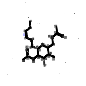 CC/C=C\SS[C@@H]1OC(COC(C)=O)[C@@H](C)[C@H](C)C1OC(C)=O